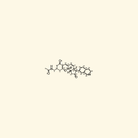 CC(=O)NCC1CC(=O)C2=C(C1)O[C@@H]1C(=C2)C=C[C@]2(C)[C@@H](c3ccc4ccncc4c3)C(=O)C[C@@H]12